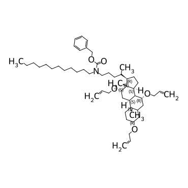 C=CCO[C@@H]1CC[C@@]2(C)C(C1)C[C@@H](OCC=C)C1[C@@H]3CC[C@H](C(C)CCCN(CCCCCCCCCCCC)C(=O)OCc4ccccc4)[C@@]3(C)[C@@H](OCC=C)C[C@@H]12